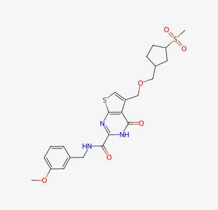 COc1cccc(CNC(=O)c2nc3scc(COCC4CCC(S(C)(=O)=O)C4)c3c(=O)[nH]2)c1